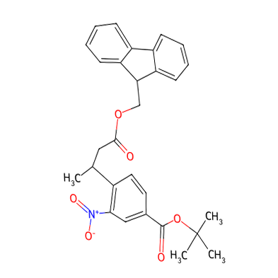 CC(CC(=O)OCC1c2ccccc2-c2ccccc21)c1ccc(C(=O)OC(C)(C)C)cc1[N+](=O)[O-]